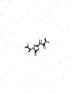 C=C(C)C(=O)NC1=NN(C(F)C(F)F)C(=O)C1